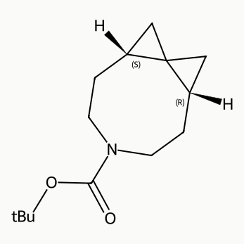 CC(C)(C)OC(=O)N1CC[C@@H]2CC23C[C@@H]3CC1